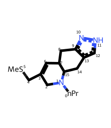 CCCN1CC(CSC)=CC2Cc3n[nH]cc3CC21